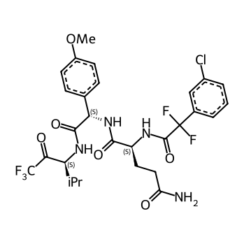 COc1ccc([C@H](NC(=O)[C@H](CCC(N)=O)NC(=O)C(F)(F)c2cccc(Cl)c2)C(=O)N[C@H](C(=O)C(F)(F)F)C(C)C)cc1